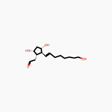 O=CC[C@H]1[C@H](C=CCCCCCCO)[C@@H](O)C[C@H]1O